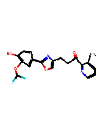 Cc1cccnc1C(=O)CCc1coc(-c2ccc(O)c(OC(F)F)c2)n1